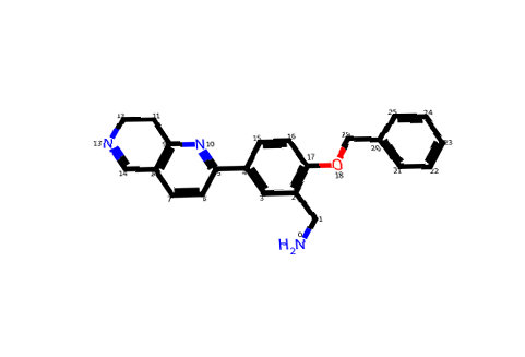 NCc1cc(-c2ccc3c(n2)CCN=C3)ccc1OCc1ccccc1